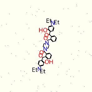 CCN(CC)c1ccc(C(=O)c2ccccc2C(=O)N2CCN(C(=O)c3ccccc3C(=O)c3ccc(N(CC)CC)cc3O)CC2)c(O)c1